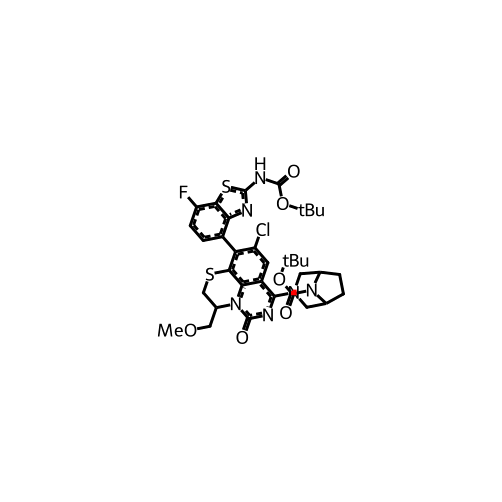 COCC1CSc2c(-c3ccc(F)c4sc(NC(=O)OC(C)(C)C)nc34)c(Cl)cc3c(N4CC5CCC(C4)N5C(=O)OC(C)(C)C)nc(=O)n1c23